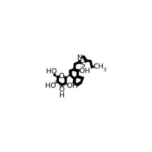 CCCc1cnc(Cc2cc([C@@H]3O[C@H](CO)[C@@H](O)[C@H](O)[C@H]3O)c3ccccc3c2O)s1